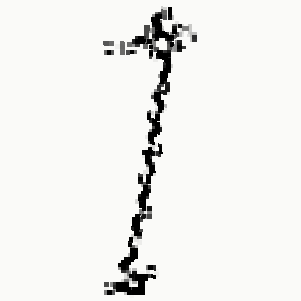 CC/C=C(/NCC=O)C(C)NC(=O)CCOCCOCCOCCOCCOCCOCCN1C(=O)C=CC1=O